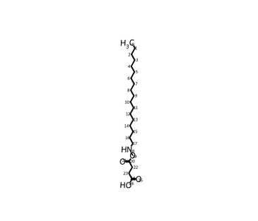 CCCCCCCCCCCCCCCCCCNOC(=O)CCC(=O)O